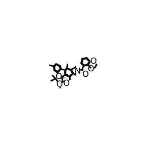 COC(=O)[C@@H](OC(C)(C)C)c1c(C)c2c(c(C)c1-c1ccc(C)cc1)CN(C(=O)c1cccc3c1OCCO3)C2